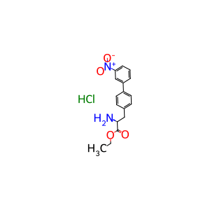 CCOC(=O)[C@@H](N)Cc1ccc(-c2cccc([N+](=O)[O-])c2)cc1.Cl